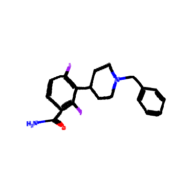 NC(=O)c1ccc(I)c(C2CCN(Cc3ccccc3)CC2)c1I